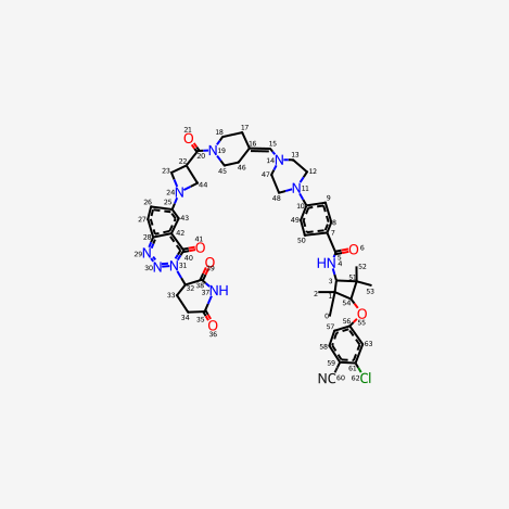 CC1(C)C(NC(=O)c2ccc(N3CCN(C=C4CCN(C(=O)C5CN(c6ccc7nnn(C8CCC(=O)NC8=O)c(=O)c7c6)C5)CC4)CC3)cc2)C(C)(C)C1Oc1ccc(C#N)c(Cl)c1